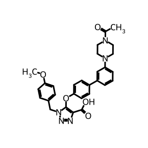 COc1ccc(Cn2nnc(C(=O)O)c2Oc2ccc(-c3cccc(N4CCN(C(C)=O)CC4)c3)cc2)cc1